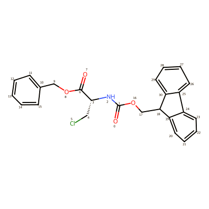 O=C(N[C@H](CCl)C(=O)OCc1ccccc1)OCC1c2ccccc2-c2ccccc21